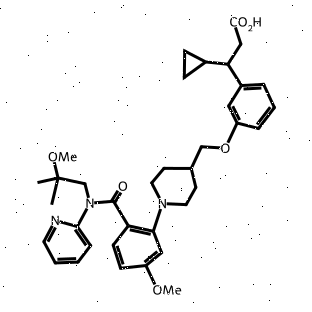 COc1ccc(C(=O)N(CC(C)(C)OC)c2ccccn2)c(N2CCC(COc3cccc(C(CC(=O)O)C4CC4)c3)CC2)c1